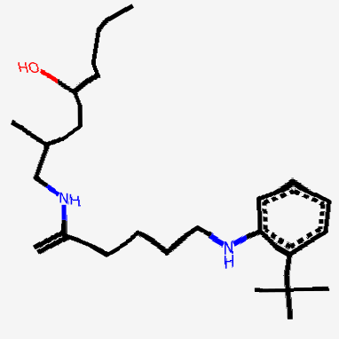 C=C(CCCCNc1ccccc1C(C)(C)C)NCC(C)CC(O)CCC